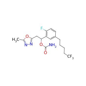 Cc1nnc(CC(OC(N)=O)c2cc(CCCCC(F)(F)F)ccc2F)o1